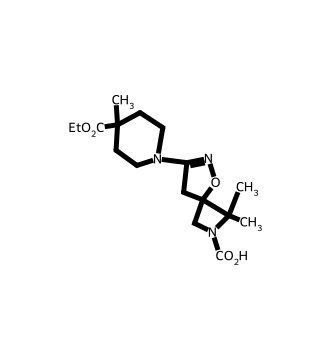 CCOC(=O)C1(C)CCN(C2=NOC3(C2)CN(C(=O)O)C3(C)C)CC1